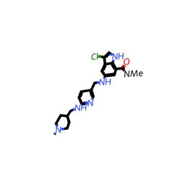 CNC(=O)c1cc(NCc2ccc(NCC3CCN(C)CC3)nc2)cc2c(Cl)c[nH]c12